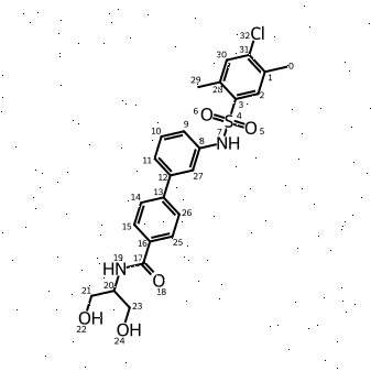 Cc1cc(S(=O)(=O)Nc2cccc(-c3ccc(C(=O)NC(CO)CO)cc3)c2)c(C)cc1Cl